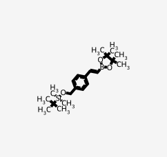 CC1(C)OB(C=Cc2ccc(CO[Si](C)(C)C(C)(C)C)cc2)OC1(C)C